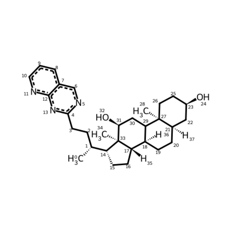 C[C@H](CCc1ncc2cccnc2n1)[C@H]1CC[C@H]2[C@@H]3CC[C@@H]4C[C@H](O)CC[C@]4(C)C3C[C@H](O)[C@]12C